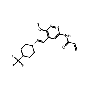 C=CC(=O)Nc1cc(/C=C/[C@H]2CC[C@H](C(F)(F)F)CC2)c(OC)nn1